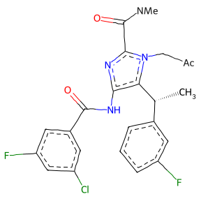 CNC(=O)c1nc(NC(=O)c2cc(F)cc(Cl)c2)c([C@H](C)c2cccc(F)c2)n1CC(C)=O